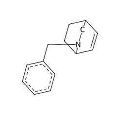 C1=CC2CCC1CN2Cc1ccccc1